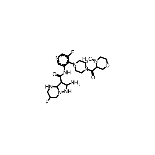 CN1CCOCC1C(=O)N1CCN(c2c(F)cncc2NC(=O)C2C(N)NN3CC(F)CNC23)CC1